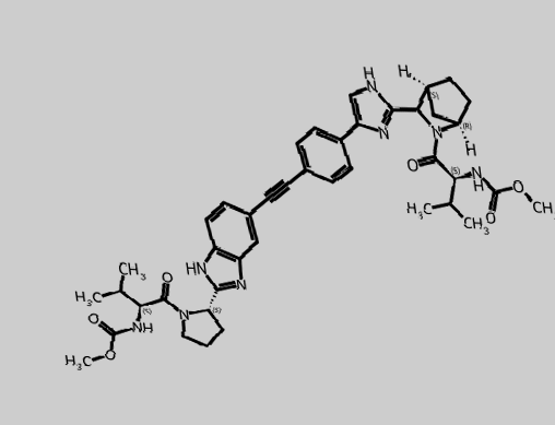 COC(=O)N[C@H](C(=O)N1CCC[C@H]1c1nc2cc(C#Cc3ccc(-c4c[nH]c(C5[C@H]6CC[C@H](C6)N5C(=O)[C@@H](NC(=O)OC)C(C)C)n4)cc3)ccc2[nH]1)C(C)C